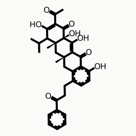 CC(=O)C1=C(O)C(C(C)C)[C@@]2(C)C[C@@]3(C)Cc4c(CCC(=O)c5ccccc5)ccc(O)c4C(=O)C3=C(O)[C@@]2(O)C1=O